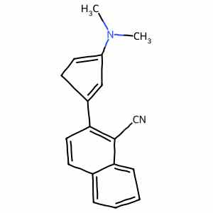 CN(C)C1=CCC(c2ccc3ccccc3c2C#N)=C1